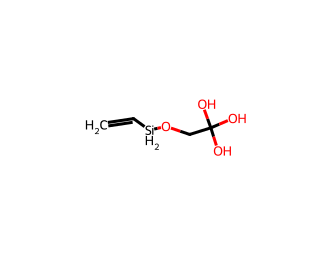 C=C[SiH2]OCC(O)(O)O